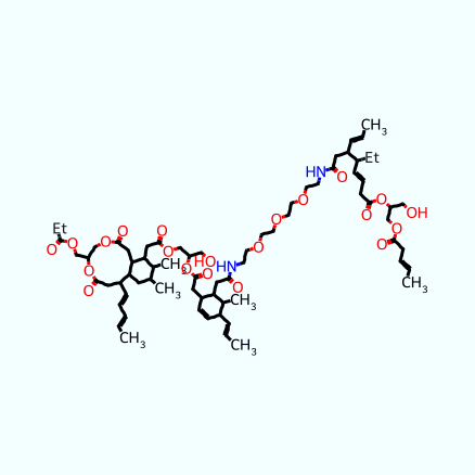 CC=CC=CC1CC(=O)OC(COC(=O)CC)COC(=O)CC2C1CC(C)C(C)C2CC(=O)OCC(CO)OC(=O)CC1C=CC(C=CC)C(C)C1CC(=O)NCCOCCOCCOCCNC(=O)CC(C=CC)C(C=CCC(=O)OC(CO)COC(=O)CC=CC)CC